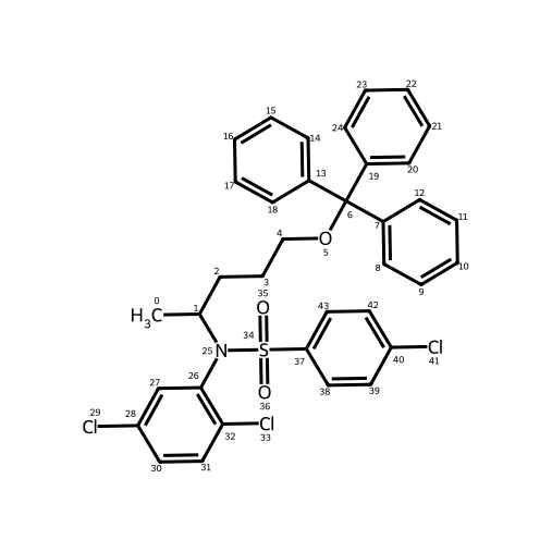 CC(CCCOC(c1ccccc1)(c1ccccc1)c1ccccc1)N(c1cc(Cl)ccc1Cl)S(=O)(=O)c1ccc(Cl)cc1